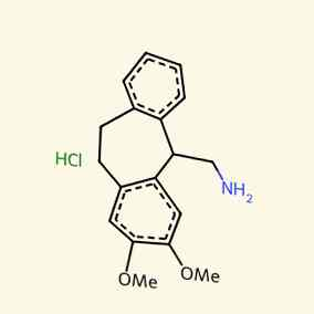 COc1cc2c(cc1OC)C(CN)c1ccccc1CC2.Cl